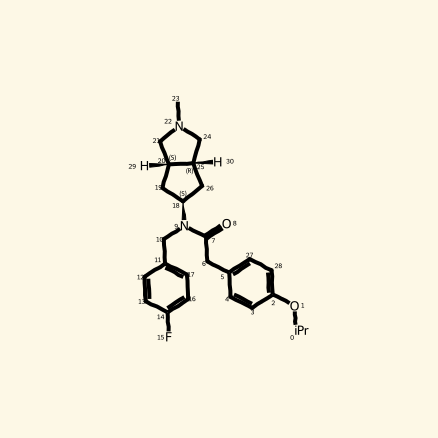 CC(C)Oc1ccc(CC(=O)N(Cc2ccc(F)cc2)[C@H]2C[C@@H]3CN(C)C[C@@H]3C2)cc1